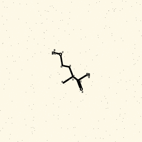 CCC(=O)N(C)CCOC(C)C